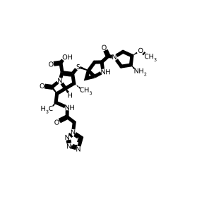 CO[C@H]1CN(C(=O)C2C[C@@]3(SC4=C(C(=O)O)N5C(=O)[C@H]([C@@H](C)NC(=O)Cn6cnnn6)[C@H]5[C@H]4C)CC3N2)C[C@H]1N